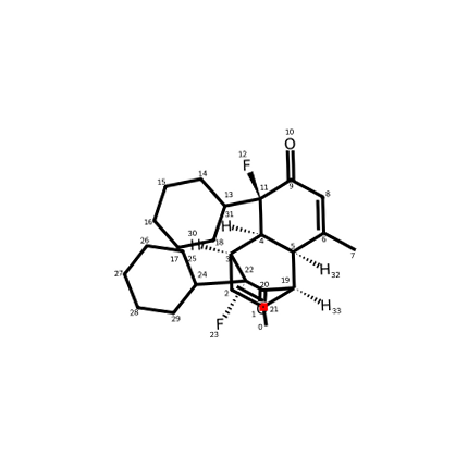 CC1=C[C@H]2[C@@H]3[C@@H](C(C)=CC(=O)[C@@]3(F)C3CCCCC3)[C@@H]1C(=O)[C@@]2(F)C1CCCCC1